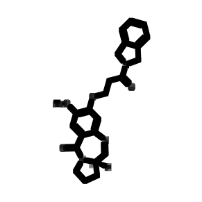 COc1cc2c(cc1OCCC(=O)N1Cc3ccccc3C1)N=C[C@@H]1CCCN1C2=O